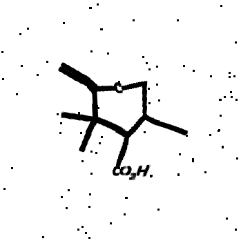 C=C1CCC(C)C(C(=O)O)C1(C)C